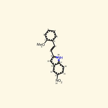 COc1ccccc1C=Cc1cc2cc([N+](=O)[O-])ccc2[nH]1